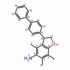 Cc1c(C)c2c(c(C)c1N)C(c1ccc(-c3ccccc3)cc1)CO2